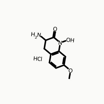 COc1ccc2c(c1)N(O)C(=O)C(N)C2.Cl